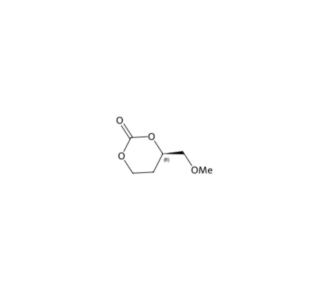 COC[C@H]1CCOC(=O)O1